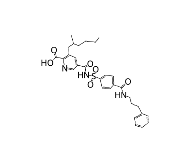 CCCCC(C)Cc1cc(C(=O)NS(=O)(=O)c2ccc(C(=O)NCCCc3ccccc3)cc2)cnc1C(=O)O